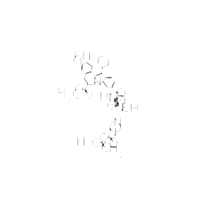 C=C(C)OC(=O)N1CCN(CCN(C)S(=O)(=O)NC(=O)c2ccc3c(C4CCCCC4)c4n(c3c2)CC(C(=O)OC)=Cc2cc(OC)ccc2-4)CC1